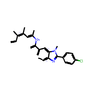 C=C/C(C)=C(C)\C=C(/C)NC(=C)C(=C)/C=c1\c(=C/C)nc(-c2ccc(Cl)cc2)n1C